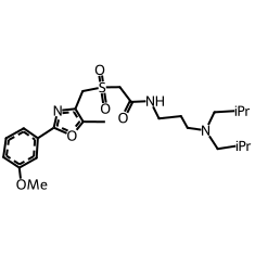 COc1cccc(-c2nc(CS(=O)(=O)CC(=O)NCCCN(CC(C)C)CC(C)C)c(C)o2)c1